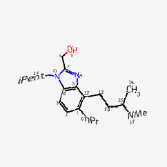 CCCc1ccc2c(nc(CO)n2C(C)CCC)c1CCC(C)NC